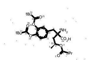 CC(C)C(=O)O[C@@H](C)CC(N)(Cc1ccc(OC(=O)C(C)(C)C)c(OC(=O)C(C)(C)C)c1)C(=O)O